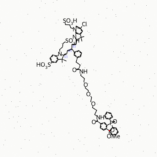 COC(=O)c1ccc(C(=O)NCCCOCCOCCOCCCNC(=O)CCc2cccc(C(=C\C=C3/N(CCCS(=O)(=O)O)c4ccc(S(=O)(=O)O)cc4C3(C)C)/C=C/C3=Nc4c(cc(Cl)c[n+]4CCCS(=O)(=O)O)C3(C)C)c2)cc1P(=O)(c1ccccc1)c1ccccc1